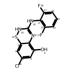 Oc1cc(Cl)cc2c1N=C(Nc1c(F)cccc1F)NS2